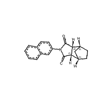 O=C1[C@@H]2[C@@H]3CC[C@@H](C3)[C@@H]2C(=O)N1c1ccc2ccccc2c1